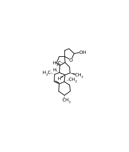 C[C@H]1CC[C@@]2(C)C(=C[C@H](C)[C@H]3C4CCC5(CCC(O)O5)[C@@]4(C)C[C@@H](C)[C@@H]32)C1